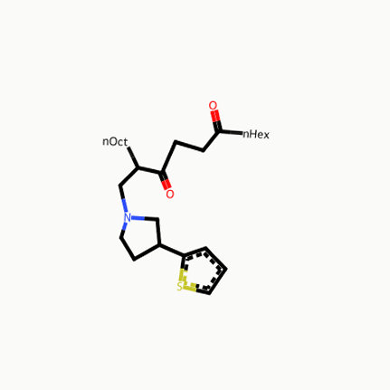 CCCCCCCCC(CN1CCC(c2cccs2)C1)C(=O)CCC(=O)CCCCCC